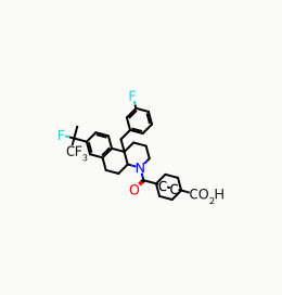 CC(F)(c1ccc2c(c1)CCC1N(C(=O)C34CCC(C(=O)O)(CC3)CC4)CCCC21Cc1cccc(F)c1)C(F)(F)F